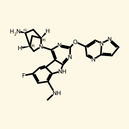 CNc1cc(F)cc2c1[nH]c1nc(Oc3cnc4ccnn4c3)nc(N3C[C@H]4C[C@@H]3C[C@@H]4N)c12